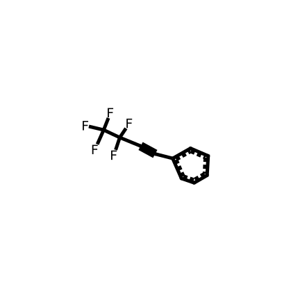 FC(F)(F)C(F)(F)C#Cc1ccccc1